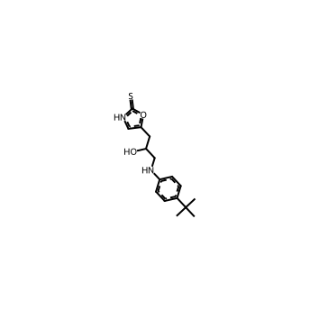 CC(C)(C)c1ccc(NCC(O)Cc2c[nH]c(=S)o2)cc1